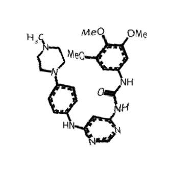 COc1cc(NC(=O)Nc2cc(Nc3ccc(N4CCN(C)CC4)cc3)ncn2)cc(OC)c1OC